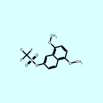 COc1ccc(OC)c2cc(OS(=O)(=O)C(F)(F)F)ccc12